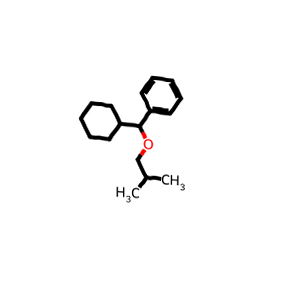 CC(C)COC(c1ccccc1)C1CCCCC1